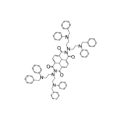 O=C1C2=CC=C3C(=O)N(N(CCN(Cc4ccccc4)c4ccccc4)CCN(Cc4ccccc4)c4ccccc4)C(=O)C4=CC=C(C(=O)N1N(CCN(Cc1ccccc1)c1ccccc1)CCN(Cc1ccccc1)c1ccccc1)C2C34